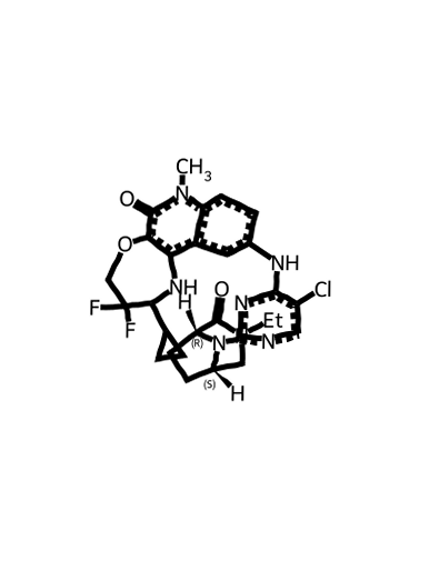 CCN1C[C@@H]2CC[C@H](C1=O)N2c1ncc(Cl)c(Nc2ccc3c(c2)c2c(c(=O)n3C)OCC(F)(F)C(C3CC3)N2)n1